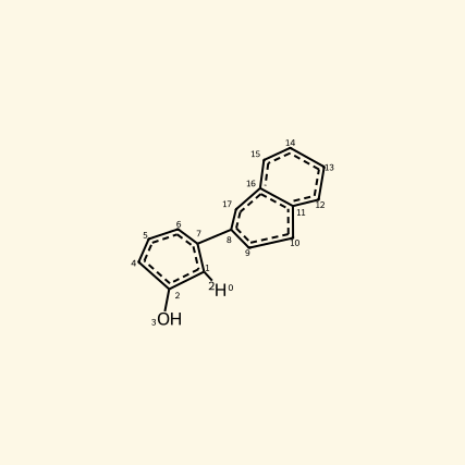 [2H]c1c(O)cccc1-c1ccc2ccccc2c1